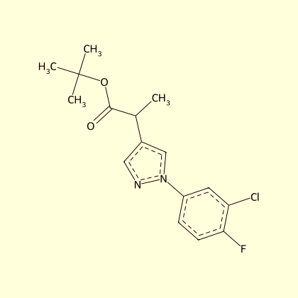 CC(C(=O)OC(C)(C)C)c1cnn(-c2ccc(F)c(Cl)c2)c1